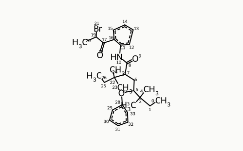 CCC(C)(C)C(CC(C(=O)Nc1ccccc1C(=O)C(C)Br)C(C)(C)CC)Oc1ccccc1